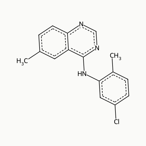 Cc1ccc2ncnc(Nc3cc(Cl)ccc3C)c2c1